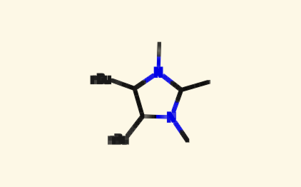 CCCCC1C(CCCC)N(C)C(C)N1C